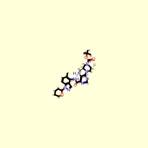 Cc1ccc2c(cnn2C2CCCCO2)c1NC(=O)c1ncnc(N2C[C@@H](C)N(C(=O)OC(C)(C)C)C[C@@H]2C)c1N